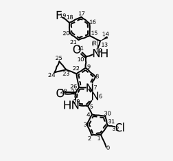 Cc1ccc(-c2nn3cc(C(=O)N[C@H](C)c4ccc(F)cc4)c(C4CC4)c3c(=O)[nH]2)cc1Cl